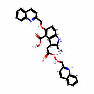 CCCCOC(=O)c1c(OCc2ccc3ccccc3n2)ccc2[nH]c(C)c(CC(=O)OOCc3ccc4ccccc4n3)c12